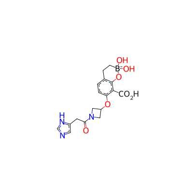 O=C(O)c1c(OC2CN(C(=O)Cc3cnc[nH]3)C2)ccc2c1O[B-](O)(O)CC2